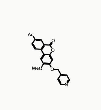 COc1cc2c(cc1OCc1ccncc1)oc(=O)c1cc(C(C)=O)ccc12